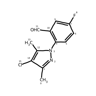 Cc1nn(-c2ccc(F)cc2C=O)c(C)c1Cl